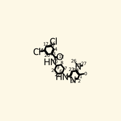 Cc1cnc(N[C@H]2CC[C@@H](NC(=O)c3cc(Cl)cc(Cl)c3)CC2)cc1N(C)C